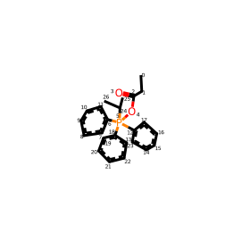 CCC(=O)OP(c1ccccc1)(c1ccccc1)(c1ccccc1)C(C)C